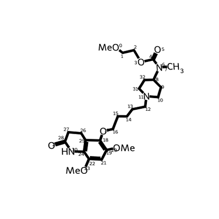 COCCOC(=O)N(C)C1CCN(CCCCCOc2c(OC)cc(OC)c3c2CCC(=O)N3)CC1